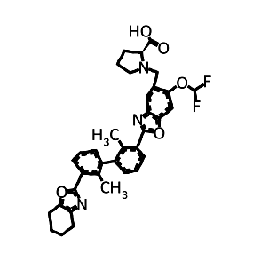 Cc1c(-c2nc3c(o2)CCCC3)cccc1-c1cccc(-c2nc3cc(CN4CCC[C@H]4C(=O)O)c(OC(F)F)cc3o2)c1C